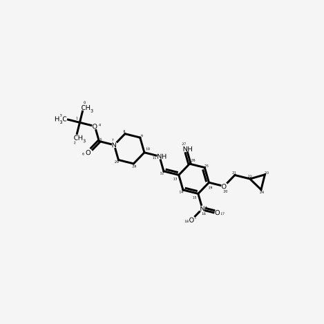 CC(C)(C)OC(=O)N1CCC(N/C=C2/C=C([N+](=O)[O-])C(OCC3CC3)=CC2=N)CC1